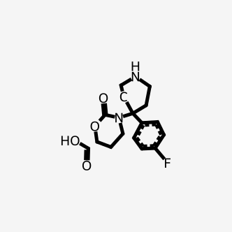 O=C1OCCCN1C1(c2ccc(F)cc2)CCNCC1.O=CO